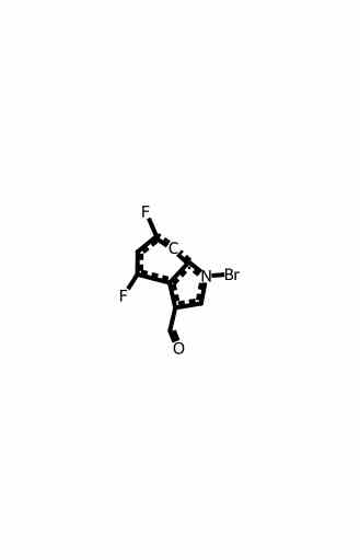 O=Cc1cn(Br)c2cc(F)cc(F)c12